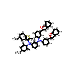 Cc1cc(C(C)(C)C)cc(C)c1N1c2cccc3c2B(c2ccc(-c4cc5ccccc5o4)cc2N3c2cccc(-c3cc4ccccc4o3)c2)c2sc3ccc(C(C)(C)C)cc3c21